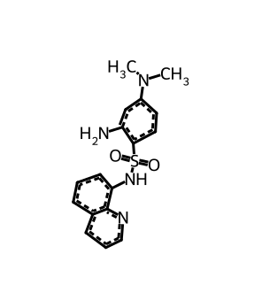 CN(C)c1ccc(S(=O)(=O)Nc2cccc3cccnc23)c(N)c1